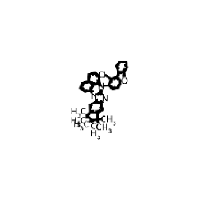 CC1(C)c2cc3nc4n(-c5ccc6oc7ccccc7c6c5Cl)c5cccc6cccc(c65)n4c3cc2C(C)(C)C1(C)C